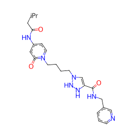 CC(C)CC(=O)Nc1ccn(CCCCN2C=C(C(=O)NCc3cccnc3)NN2)c(=O)c1